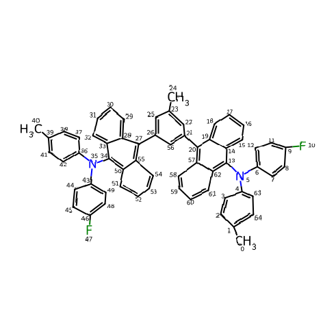 Cc1ccc(N(c2ccc(F)cc2)c2c3ccccc3c(-c3cc(C)cc(-c4c5ccccc5c(N(c5ccc(C)cc5)c5ccc(F)cc5)c5ccccc45)c3)c3ccccc23)cc1